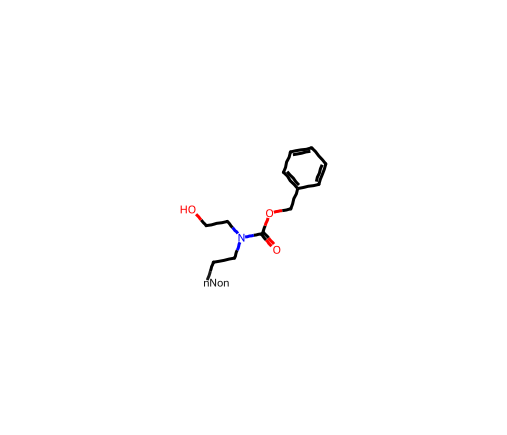 CCCCCCCCCCCN(CCO)C(=O)OCc1ccccc1